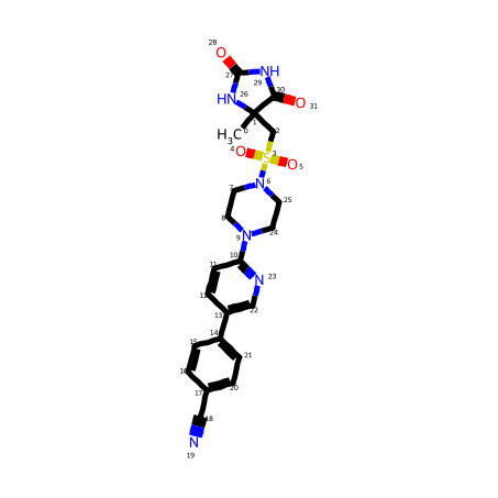 CC1(CS(=O)(=O)N2CCN(c3ccc(-c4ccc(C#N)cc4)cn3)CC2)NC(=O)NC1=O